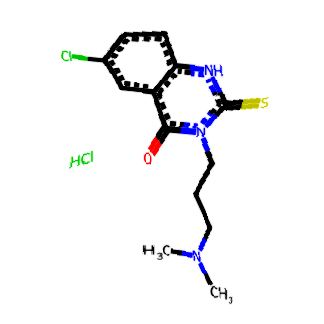 CN(C)CCCn1c(=S)[nH]c2ccc(Cl)cc2c1=O.Cl